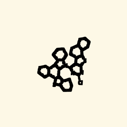 Clc1nc(-n2c3ccccc3c3c4ccccc4c4sc5ccccc5c4c32)c2c(n1)sc1c3ccccc3ccc12